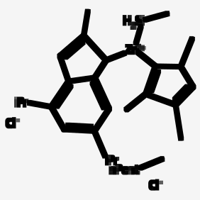 CCCCCC.C[SiH2][Zr+2]([C]1=C(C)C(C)=CC1C)[CH]1C(C)=Cc2c(C(C)C)cc(C(C)C)cc21.[Cl-].[Cl-]